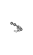 NC(=O)OC1c2ccccc2CCN1S(=O)(=O)CCc1ccc(-c2ccccc2)cc1